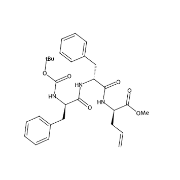 C=CC[C@@H](NC(=O)[C@@H](Cc1ccccc1)NC(=O)[C@@H](Cc1ccccc1)NC(=O)OC(C)(C)C)C(=O)OC